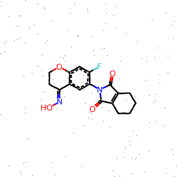 O=C1C2=C(CCCC2)C(=O)N1c1cc2c(cc1F)OCCC2=NO